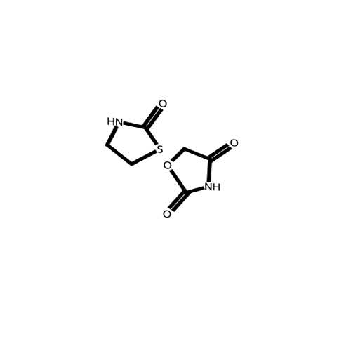 O=C1COC(=O)N1.O=C1NCCS1